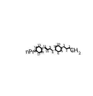 C=CCC[C@H]1CC[C@H](CCC=C[C@H]2CC[C@H](CCC)CC2)CC1